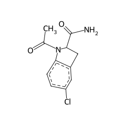 CC(=O)N1c2ccc(Cl)cc2CC1C(N)=O